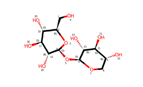 OC[C@H]1O[C@@H](O[C@@H]2OC[C@@H](O)[C@H](O)[C@H]2O)[C@H](O)[C@@H](O)[C@@H]1O